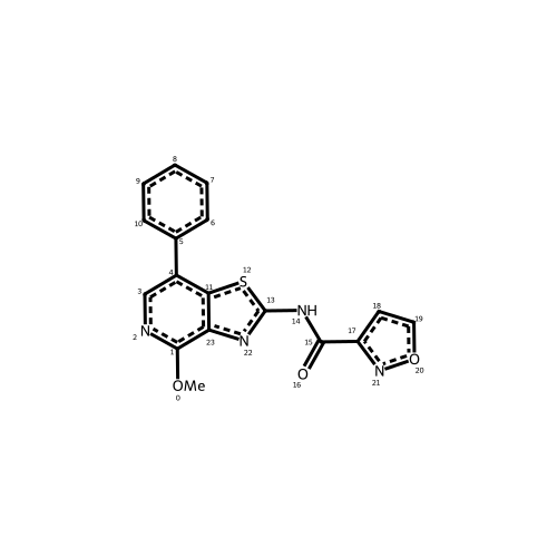 COc1ncc(-c2ccccc2)c2sc(NC(=O)c3ccon3)nc12